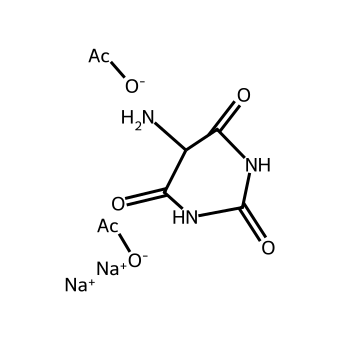 CC(=O)[O-].CC(=O)[O-].NC1C(=O)NC(=O)NC1=O.[Na+].[Na+]